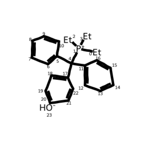 CC[P+](CC)(CC)C(c1ccccc1)(c1ccccc1)c1ccccc1.[OH-]